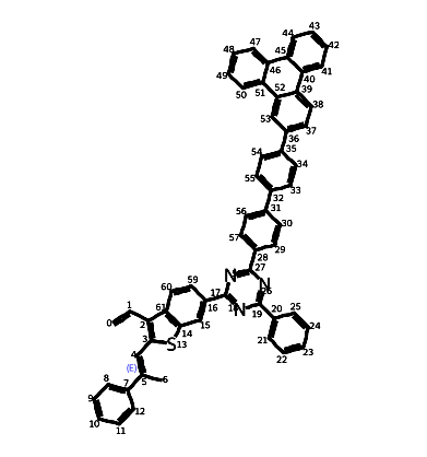 C=Cc1c(/C=C(\C)c2ccccc2)sc2cc(-c3nc(-c4ccccc4)nc(-c4ccc(-c5ccc(-c6ccc7c8ccccc8c8ccccc8c7c6)cc5)cc4)n3)ccc12